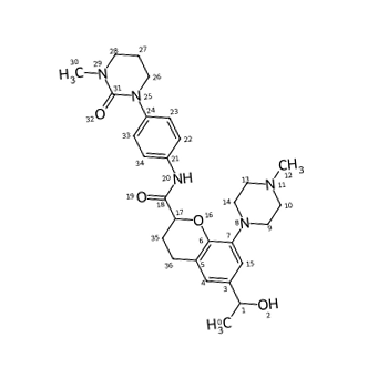 CC(O)c1cc2c(c(N3CCN(C)CC3)c1)OC(C(=O)Nc1ccc(N3CCCN(C)C3=O)cc1)CC2